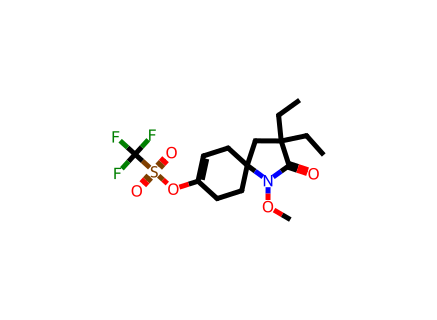 CCC1(CC)CC2(CC=C(OS(=O)(=O)C(F)(F)F)CC2)N(OC)C1=O